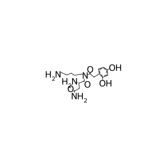 NCCCCCN(C(=O)Cc1ccc(O)cc1O)C(=O)[C@@H](N)CC(N)=O